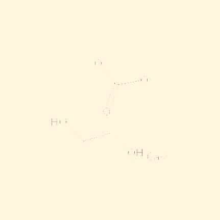 O=C([O-])[O-].OCCO.[Ca+2]